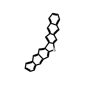 c1ccc2cc3cc4c(cc3cc2c1)sc1cc2cc3ccccc3cc2cc14